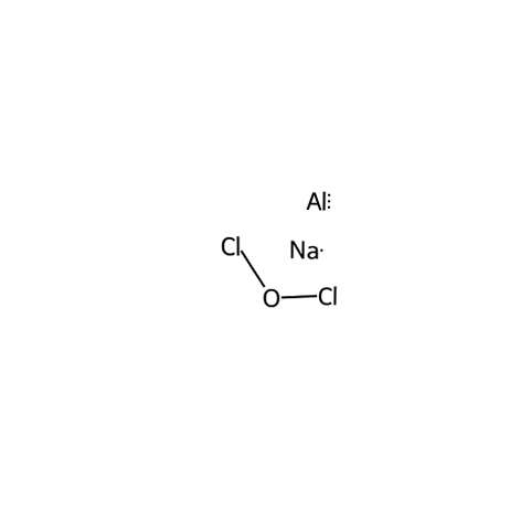 ClOCl.[Al].[Na]